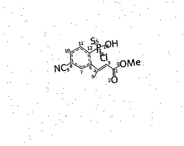 COC(=O)C=C(C)c1cc(C#N)ccc1P(O)(=S)Cl